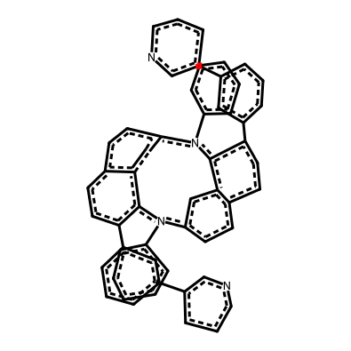 c1ccc(-n2c3ccc4ccc(-c5cccc(-c6cccnc6)c5)c(c4c3)n(-c3ccccc3)c3ccc4ccc(-c5cccc(-c6cccnc6)c5)c2c4c3)cc1